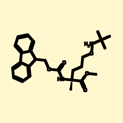 COC(=O)[C@](C)(CCCO[SiH2]C(C)(C)C)NC(=O)OCC1c2ccccc2-c2ccccc21